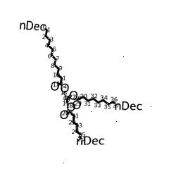 CCCCCCCCCCCCCCCCCCCCCC(=O)OC[C@@H](COC(=O)CCCCCCCCCCCCCCC)OC(=O)CCCCCCCCCCCCCCCCC